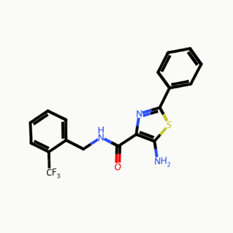 Nc1sc(-c2ccccc2)nc1C(=O)NCc1ccccc1C(F)(F)F